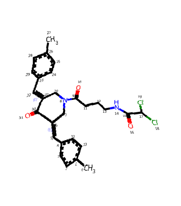 Cc1ccc(/C=C2\CN(C(=O)CCCNC(=O)C(Cl)Cl)C/C(=C\c3ccc(C)cc3)C2=O)cc1